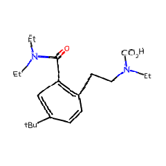 CCN(CCc1ccc(C(C)(C)C)cc1C(=O)N(CC)CC)C(=O)O